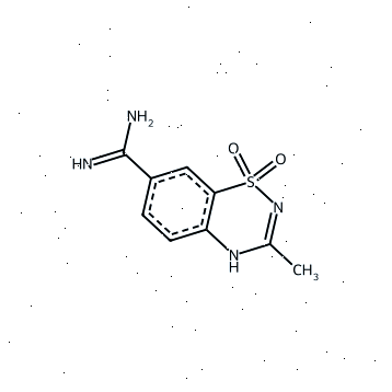 CC1=NS(=O)(=O)c2cc(C(=N)N)ccc2N1